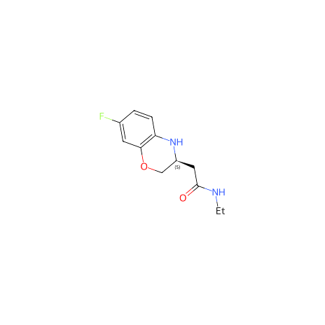 CCNC(=O)C[C@H]1COc2cc(F)ccc2N1